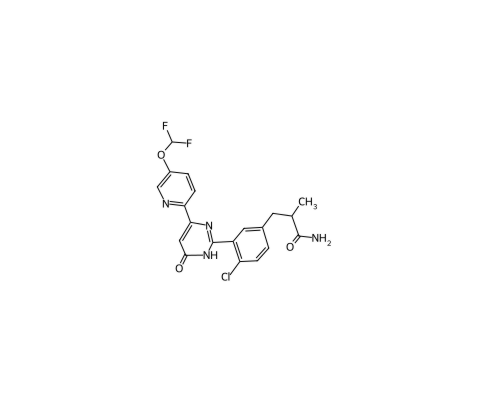 CC(Cc1ccc(Cl)c(-c2nc(-c3ccc(OC(F)F)cn3)cc(=O)[nH]2)c1)C(N)=O